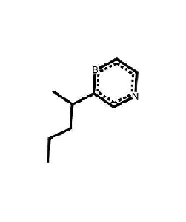 CCCC(C)c1bccnc1